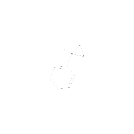 [C]C1(c2ccccc2)CC1